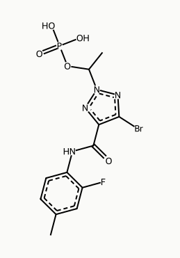 Cc1ccc(NC(=O)c2nn(C(C)OP(=O)(O)O)nc2Br)c(F)c1